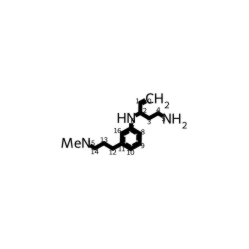 C=CC(CCN)Nc1cccc(CCCNC)c1